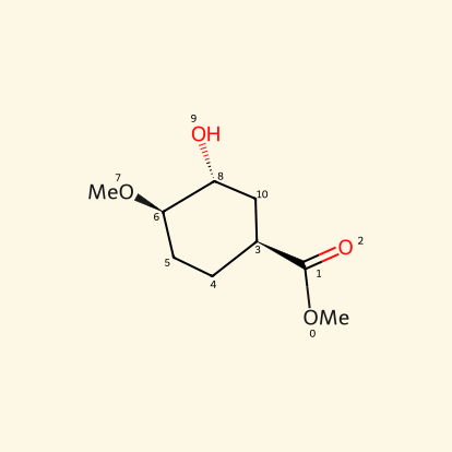 COC(=O)[C@H]1CC[C@@H](OC)[C@H](O)C1